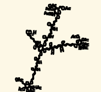 CC(=O)N[C@H]1[C@H](OCCCCC(=O)NCCCNC(=O)CCO[C@@H]2[C@H](OCCC(=O)NCCCNC(=O)CCCCO[C@@H]3O[C@H](COC(C)=O)[C@H](OC(C)=O)[C@H](OC(C)=O)[C@H]3NC(C)=O)C=C(C(=O)NCCCCCC(=O)O)C[C@H]2OCCC(=O)NCCCNC(=O)CCCCO[C@@H]2O[C@H](COC(C)=O)[C@H](OC(C)=O)[C@H](OC(C)=O)[C@H]2NC(C)=O)O[C@H](COC(C)=O)[C@H](OC(C)=O)[C@@H]1OC(C)=O